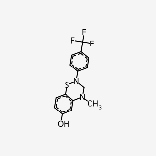 CN1CN(c2ccc(C(F)(F)F)cc2)Sc2ccc(O)cc21